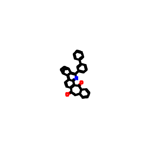 O=C1CC2C=CC=CC2C(=O)c2c1ccc1c3c(c(-c4cccc(-c5ccccc5)c4)nc21)C1CCC3C1